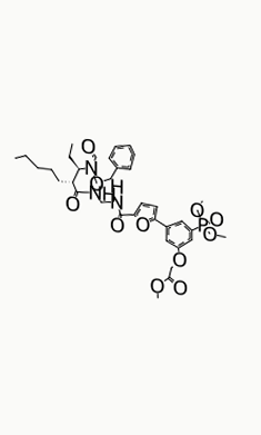 CCCCC[C@@H](C(=O)NCNC(=O)c1ccc(-c2cc(OCC(=O)OC)cc(P(=O)(OC)OC)c2)o1)[C@@H](CC)N(C=O)OCc1ccccc1